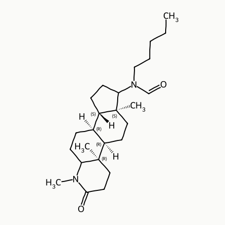 CCCCCN(C=O)C1CC[C@H]2[C@@H]3CCC4N(C)C(=O)CC[C@]4(C)[C@@H]3CC[C@]12C